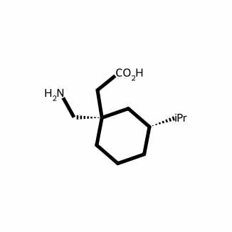 CC(C)[C@@H]1CCC[C@@](CN)(CC(=O)O)C1